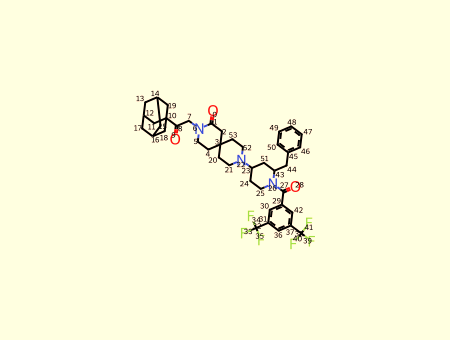 O=C1CC2(CCN1CC(=O)C13CC4CC(CC(C4)C1)C3)CCN(C1CCN(C(=O)c3cc(C(F)(F)F)cc(C(F)(F)F)c3)C(Cc3ccccc3)C1)CC2